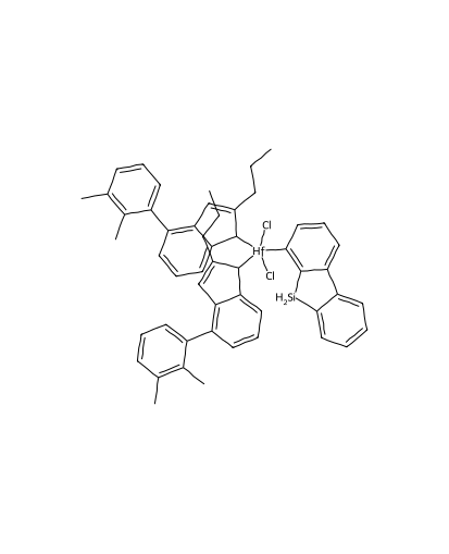 CCCC1=Cc2c(-c3cccc(C)c3C)cccc2[CH]1[Hf]([Cl])([Cl])([c]1cccc2c1[SiH2]c1ccccc1-2)[CH]1C(CCC)=Cc2c(-c3cccc(C)c3C)cccc21